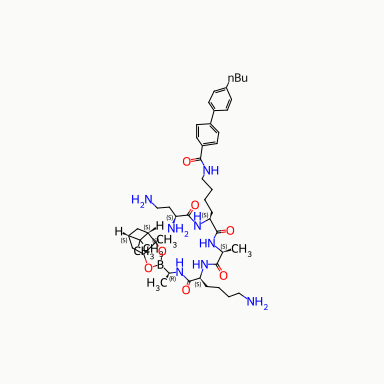 CCCCc1ccc(-c2ccc(C(=O)NCCCC[C@H](NC(=O)[C@@H](N)CCN)C(=O)N[C@@H](C)C(=O)N[C@@H](CCCCN)C(=O)N[C@@H](C)B3OC4C[C@@H]5C[C@@H](C5(C)C)[C@]4(C)O3)cc2)cc1